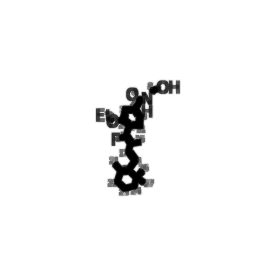 CCOc1cc(C(=O)NCO)ccc1/C(F)=C(C)/C=C/C1=C(C)CCCC1(C)C